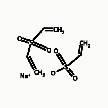 C=CS(=O)(=O)C=C.C=CS(=O)(=O)[O-].[Na+]